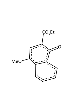 CCOC(=O)c1cc(OC)c2ccccn2c1=O